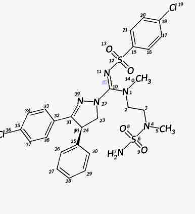 CN(CCN(C)S(N)(=O)=O)/C(=N\S(=O)(=O)c1ccc(Cl)cc1)N1C[C@@H](c2ccccc2)C(c2ccc(Cl)cc2)=N1